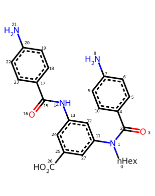 CCCCCCN(C(=O)c1ccc(N)cc1)c1cc(NC(=O)c2ccc(N)cc2)cc(C(=O)O)c1